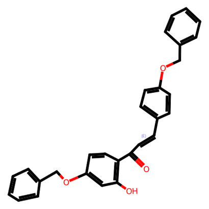 O=C(/C=C/c1ccc(OCc2ccccc2)cc1)c1ccc(OCc2ccccc2)cc1O